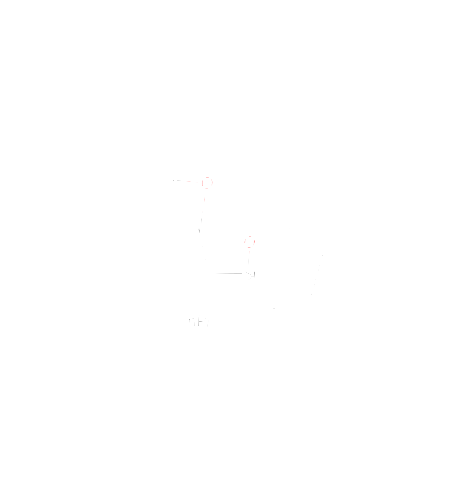 CCC[Si]1(CC2CO2)CCCCO1